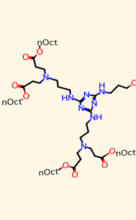 CCCCCCCCOC(=O)CCN(CCCNc1nc(NCCCO)nc(NCCCN(CCC(=O)OCCCCCCCC)CCC(=O)OCCCCCCCC)n1)CCC(=O)OCCCCCCCC